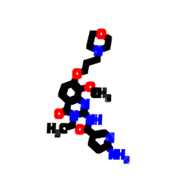 CCn1c(NC(=O)c2ccc(N)nc2)nc2c(OC)c(OCCCN3CCOCC3)ccc2c1=O